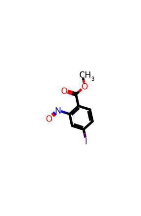 COC(=O)c1ccc(I)cc1N=O